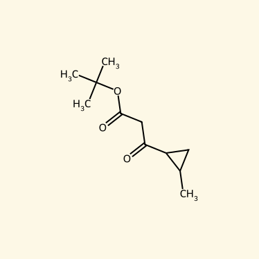 CC1CC1C(=O)CC(=O)OC(C)(C)C